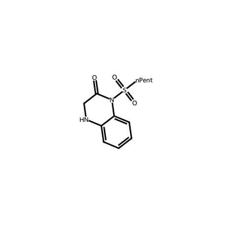 CCCCCS(=O)(=O)N1C(=O)CNc2ccccc21